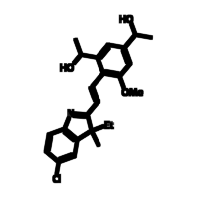 CCC1(C)C(/C=C/c2c(OC)cc(C(C)O)cc2C(C)O)=Nc2ccc(Cl)cc21